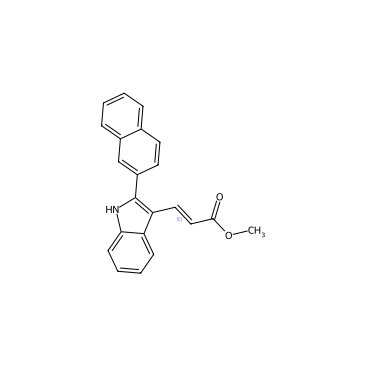 COC(=O)/C=C/c1c(-c2ccc3ccccc3c2)[nH]c2ccccc12